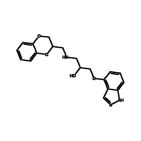 OC(CNCC1COc2ccccc2O1)COc1cccc2[nH]ncc12